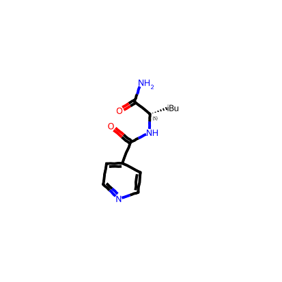 CCC(C)[C@H](NC(=O)c1ccncc1)C(N)=O